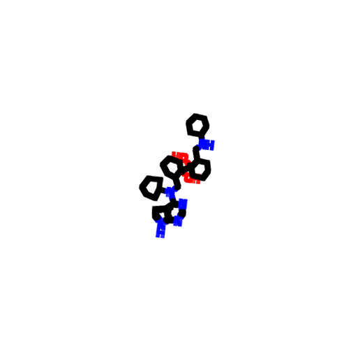 OC1(C2(O)CCCCC2CN(c2ncnc3[nH]ccc23)C2CCCCC2)CCCCC1CNC1CCCCC1